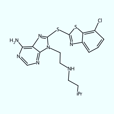 CC(C)CCNCCn1c(Sc2nc3cccc(Cl)c3s2)nc2c(N)ncnc21